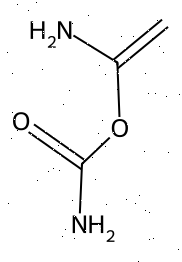 C=C(N)OC(N)=O